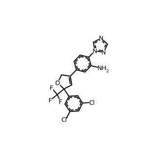 Nc1cc(C2=CC(c3cc(Cl)cc(Cl)c3)(C(F)(F)F)OC2)ccc1-n1cncn1